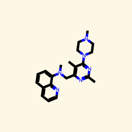 Cc1nc(CN(C)c2cccc3cccnc23)c(C)c(N2CCN(C)CC2)n1